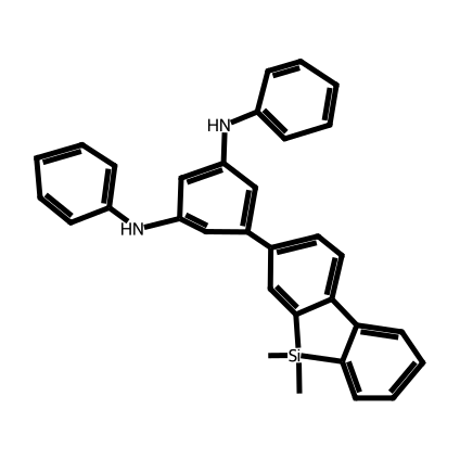 C[Si]1(C)c2ccccc2-c2ccc(-c3cc(Nc4ccccc4)cc(Nc4ccccc4)c3)cc21